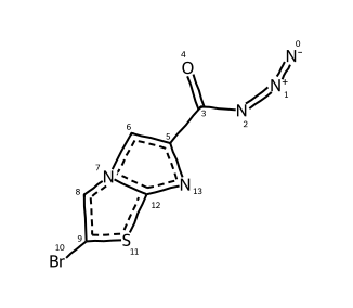 [N-]=[N+]=NC(=O)c1cn2cc(Br)sc2n1